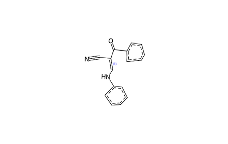 N#C/C(=C\Nc1ccccc1)C(=O)c1ccccc1